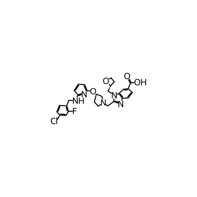 O=C(O)c1ccc2nc(CN3CCC(Oc4cccc(NCc5ccc(Cl)cc5F)n4)C3)n(C[C@@H]3CCO3)c2c1